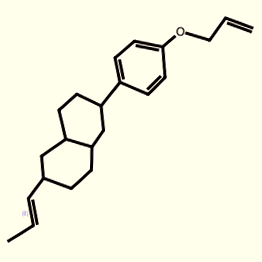 C=CCOc1ccc(C2CCC3CC(/C=C/C)CCC3C2)cc1